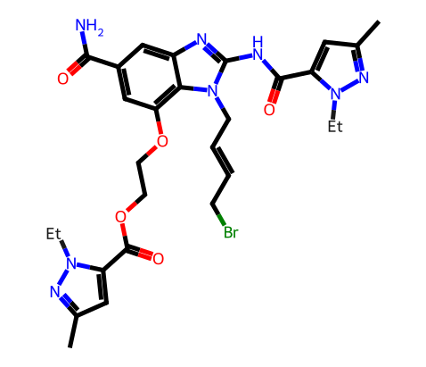 CCn1nc(C)cc1C(=O)Nc1nc2cc(C(N)=O)cc(OCCOC(=O)c3cc(C)nn3CC)c2n1CC=CCBr